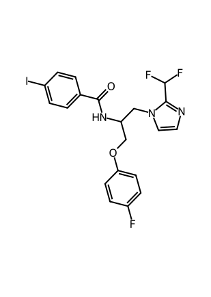 O=C(NC(COc1ccc(F)cc1)Cn1ccnc1C(F)F)c1ccc(I)cc1